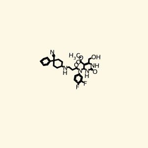 COC(=O)C1=C(CO)NC(=O)NC1N(C(=O)CCNC1CCC(C#N)(c2ccccc2)CC1)c1ccc(F)c(F)c1